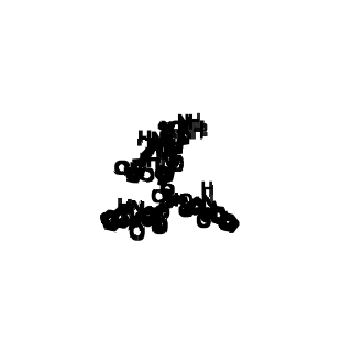 COc1cc2c(cc1OCCN(CCOc1cc3c(cc1OC)C(=O)N1Cc4ccccc4CC1CN3)C(=O)OCc1ccc(NC(=O)C(CCCNC(N)=O)NC(=O)[C@@H](NC(=O)CCCCCN3C(=O)C=CC3=O)C(C)C)cc1)N=C[C@@H]1Cc3ccccc3CN1C2=O